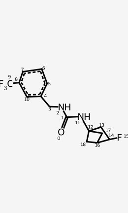 O=C(NCc1cccc(C(F)(F)F)c1)NC12CC(F)C(C1)C2